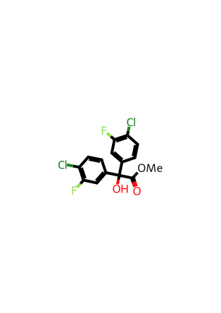 COC(=O)C(O)(c1ccc(Cl)c(F)c1)c1ccc(Cl)c(F)c1